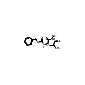 CC(C=O)C[C@H](NC(=O)OCc1ccccc1)C(=O)NN